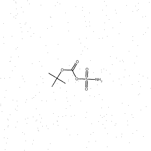 CC(C)(C)OC(=O)OS(N)(=O)=O